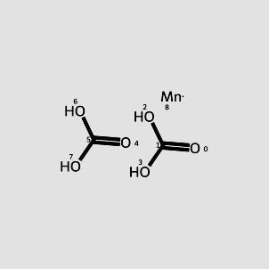 O=C(O)O.O=C(O)O.[Mn]